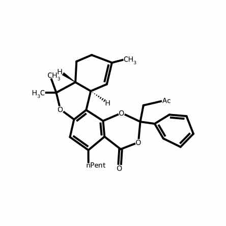 CCCCCc1cc2c(c3c1C(=O)OC(CC(C)=O)(c1ccccc1)O3)[C@@H]1C=C(C)CC[C@H]1C(C)(C)O2